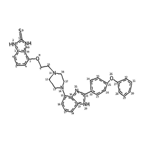 S=c1[nH]c2cccc(OCCN3CCN(c4cccc5[nH]c(-c6ccc(Oc7ccccc7)cc6)nc45)CC3)c2[nH]1